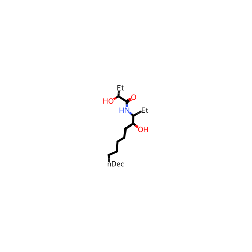 CCCCCCCCCCCCCCCC(O)C(CC)NC(=O)C(O)CC